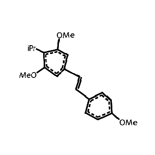 COc1ccc(C=Cc2cc(OC)c(C(C)C)c(OC)c2)cc1